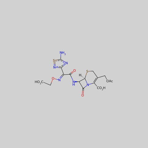 CC(=O)OCC1=C(C(=O)O)N2C(=O)[C@@H](NC(=O)C(=NOCC(=O)O)c3nsc(N)n3)[C@H]2SC1